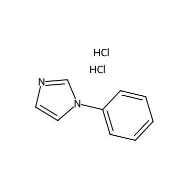 Cl.Cl.c1ccc(-n2ccnc2)cc1